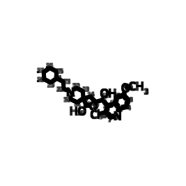 COc1ccc2ncc(Cl)c([C@H](O)CCC3(C(=O)O)CCN(CCC4CCCCC4)CC3)c2c1